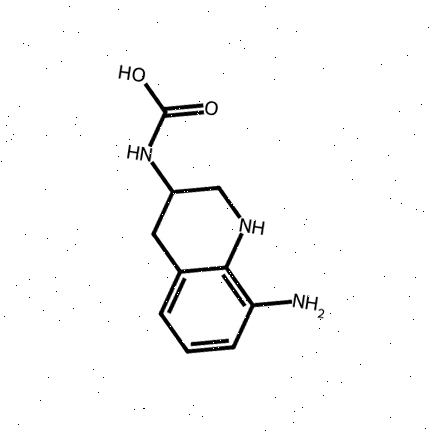 Nc1cccc2c1NCC(NC(=O)O)C2